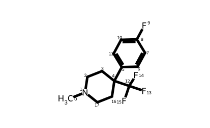 CN1CCC(c2ccc(F)cc2)(C(F)(F)F)CC1